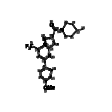 COc1ccc(-c2cc(C(F)(F)F)n3nc(C(=O)N4CCC(C)CC4)cc3n2)cc1